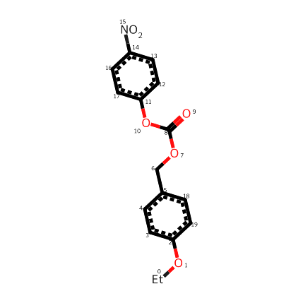 CCOc1ccc(COC(=O)Oc2ccc([N+](=O)[O-])cc2)cc1